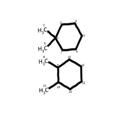 CC1(C)CCCCC1.CC1CCCCC1C